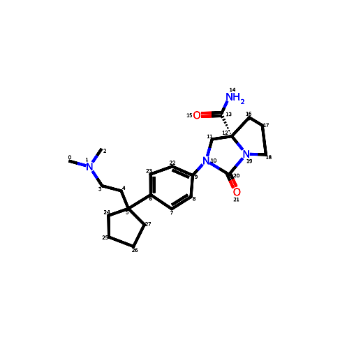 CN(C)CCC1(c2ccc(N3C[C@@]4(C(N)=O)[CH]CCN4C3=O)cc2)CCCC1